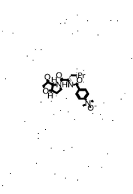 CC(C)C[C@H](NC(=O)c1ccc([N+](C)(C)[O-])cc1)C(=O)N1CC[C@H]2OCC(=O)[C@H]21